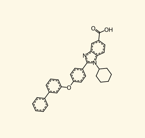 O=C(O)c1ccc2c(c1)nc(-c1ccc(Oc3cccc(-c4ccccc4)c3)cc1)n2C1CCCCC1